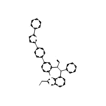 CCc1nc2cccc3c2n1-c1ccc(-c2ccc(-c4ccc(-c5ccccc5)s4)cc2)cc1C(C=O)C3c1ccccc1